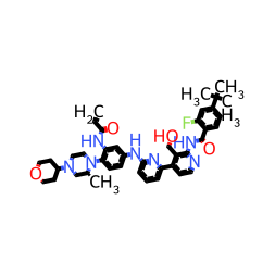 C=CC(=O)Nc1cc(Nc2cccc(-c3ccnc(NC(=O)c4ccc(C(C)(C)C)cc4F)c3CO)n2)ccc1N1CCN(C2CCOCC2)C[C@@H]1C